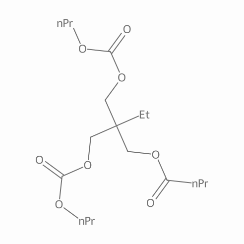 CCCOC(=O)OCC(CC)(COC(=O)CCC)COC(=O)OCCC